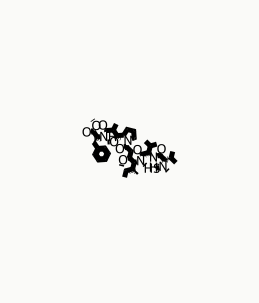 CC[C@H](C)C(C(CC(=O)N1CCCC1[C@H](OC)C(C)C(=O)N[C@@H](Cc1ccccc1)C(=O)OC)OC)N(C)C(=O)[C@@H](NC(=O)[C@H](C(C)C)N(C)S)C(C)C